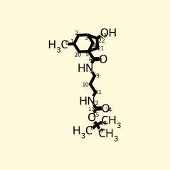 CC1CC2CC(C(=O)NCCCNC(=O)OC(C)(C)C)(C1)CC2O